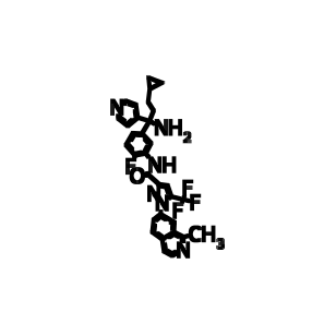 Cc1nccc2ccc(-n3nc(C(=O)Nc4cc(C(N)(CCC5CC5)c5ccncc5)ccc4F)cc3C(F)(F)F)cc12